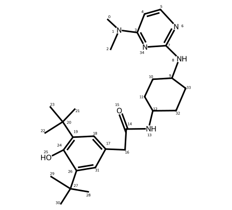 CN(C)c1ccnc(NC2CCC(NC(=O)Cc3cc(C(C)(C)C)c(O)c(C(C)(C)C)c3)CC2)n1